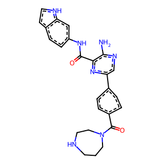 Nc1ncc(-c2ccc(C(=O)N3CCCNCC3)cc2)nc1C(=O)Nc1ccc2cc[nH]c2c1